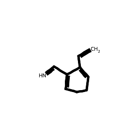 C=CC1=CCCC=C1C=N